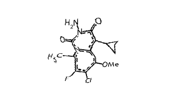 COc1c(Cl)c(F)c(C)n2c(=O)n(N)c(=O)c(C3CC3)c12